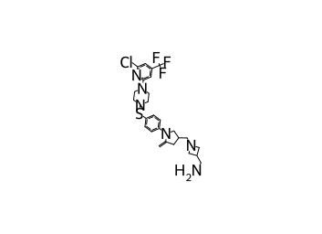 C=C1CC(CN2CC(CN)C2)CN1c1ccc(SN2CCN(c3cc(C(F)(F)F)cc(Cl)n3)CC2)cc1